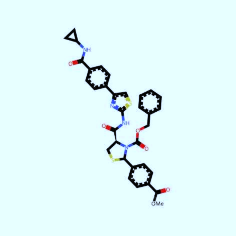 COC(=O)c1ccc(C2SC[C@@H](C(=O)Nc3nc(-c4ccc(C(=O)NC5CC5)cc4)cs3)N2C(=O)OCc2ccccc2)cc1